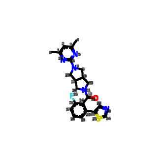 Cc1cc(C)nc(N2CC3CN(C(=O)c4c(F)cccc4-c4cncs4)CC3C2)n1